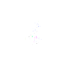 Cc1c(F)cc(C(=N)NCc2cc(-c3cnc(C(F)(F)F)nc3)ncc2F)n1S(=O)(=O)c1cccc(F)c1